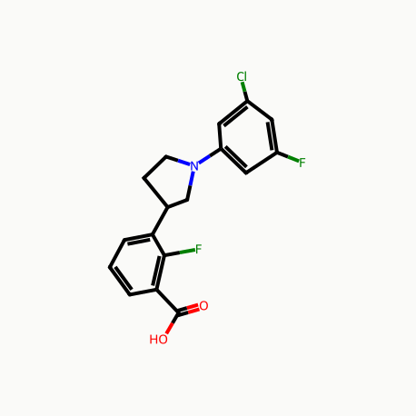 O=C(O)c1cccc(C2CCN(c3cc(F)cc(Cl)c3)C2)c1F